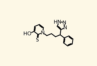 Oc1cccn(CCCC(c2ccccc2)c2c[nH]nn2)c1=S